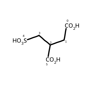 O=C(O)CC(CS(=O)(=O)O)C(=O)O